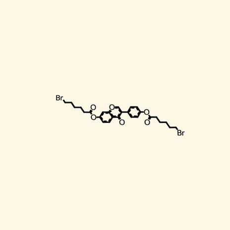 O=C(CCCCCBr)Oc1ccc(-c2coc3cc(OC(=O)CCCCCBr)ccc3c2=O)cc1